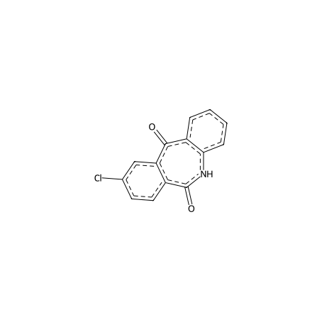 O=c1[nH]c2ccccc2c(=O)c2cc(Cl)ccc12